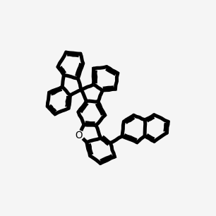 c1ccc2c(c1)-c1ccccc1C21c2ccccc2-c2cc3c(cc21)oc1cccc(-c2ccc4ccccc4c2)c13